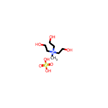 C[N+](CCO)(CCO)CCO.O=S(=O)(O)O